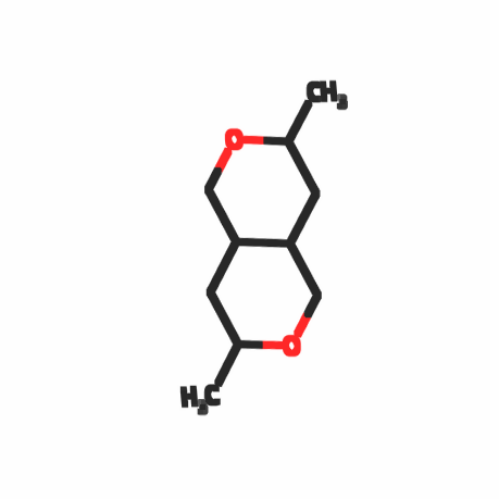 CC1CC2COC(C)CC2CO1